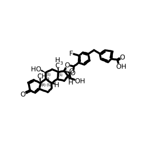 C[C@]12C=CC(=O)C=C1CC[C@@H]1C2[C@@H](O)C[C@@]2(C)C1C[C@H]1OC(c3ccc(Cc4ccc(C(=O)O)cc4)cc3F)O[C@]12C(=O)CO